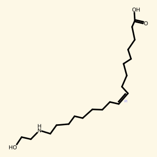 O=C(O)CCCCCCC/C=C\CCCCCCCCNCCO